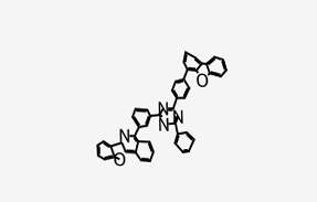 c1ccc(-c2nc(-c3ccc(-c4cccc5c4oc4ccccc45)cc3)nc(-c3cccc(-c4nc5c6ccccc6oc5c5ccccc45)c3)n2)cc1